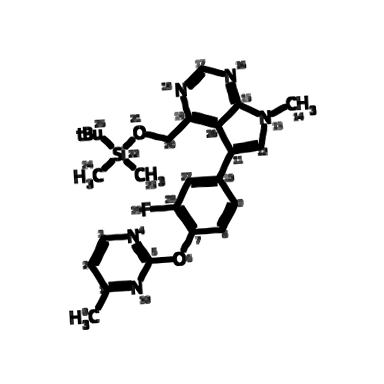 Cc1ccnc(Oc2ccc(-c3cn(C)c4ncnc(CO[Si](C)(C)C(C)(C)C)c34)cc2F)n1